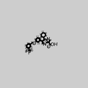 O=C(O)c1cnn2c(C3CCCCC3)c(-c3cccc(OCc4cccc(C(F)(F)F)c4)c3)cnc12